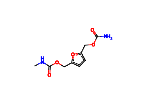 CNC(=O)OCc1ccc(COC(N)=O)o1